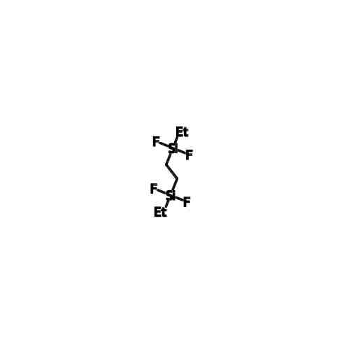 CC[Si](F)(F)CC[Si](F)(F)CC